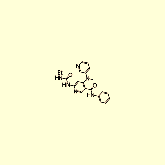 CCNC(=O)Nc1cc(N(C)c2cccnc2)c(C(=O)Nc2ccccc2)cn1